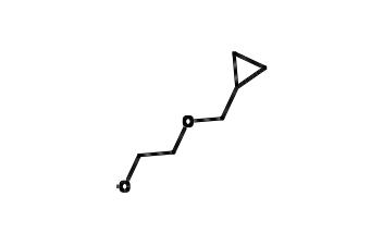 [O]CCOCC1CC1